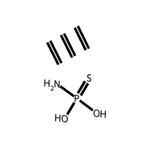 C=C.C=C.C=C.NP(O)(O)=S